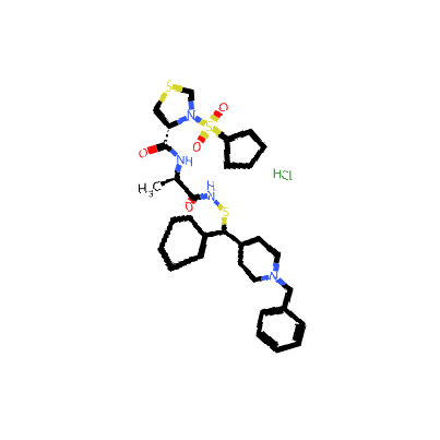 C[C@@H](NC(=O)[C@@H]1CSCN1S(=O)(=O)C1CCCC1)C(=O)NSC(C1CCCCC1)C1CCN(Cc2ccccc2)CC1.Cl